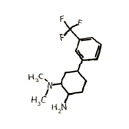 CN(C)C1CC(c2cccc(C(F)(F)F)c2)CCC1N